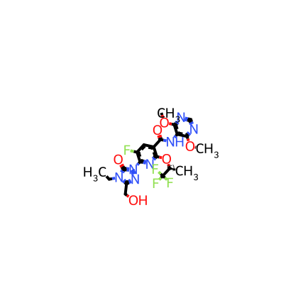 CCn1c(CO)nn(-c2nc(O[C@@H](C)C(F)(F)F)c(C(=O)Nc3c(OC)ncnc3OC)cc2F)c1=O